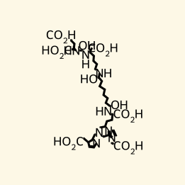 O=C(O)CCC(NC(O)NC(CCCCNC(O)CCCCCCC(O)NC(CCCCN(CC1=NC=CC1CC(=O)O)Cc1nccn1CC(=O)O)C(=O)O)C(=O)O)C(=O)O